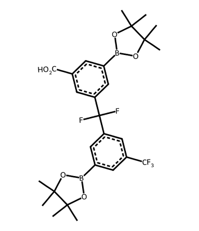 CC1(C)OB(c2cc(C(=O)O)cc(C(F)(F)c3cc(B4OC(C)(C)C(C)(C)O4)cc(C(F)(F)F)c3)c2)OC1(C)C